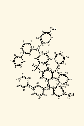 CC(C)(C)c1ccc(N(c2cccc(-c3ccccc3)c2)c2ccc3c(c2)C(C)(C)c2cc(N(c4ccc(C(C)(C)C)cc4)c4cccc(-c5ccccc5)c4)c4c5ccccc5n(-c5ccccc5)c4c2-3)cc1